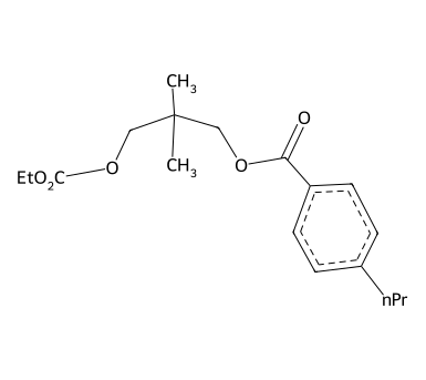 CCCc1ccc(C(=O)OCC(C)(C)COC(=O)OCC)cc1